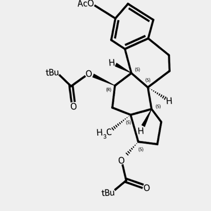 CC(=O)Oc1ccc2c(c1)[C@@H]1[C@@H](CC2)[C@@H]2CC[C@H](OC(=O)C(C)(C)C)[C@@]2(C)C[C@H]1OC(=O)C(C)(C)C